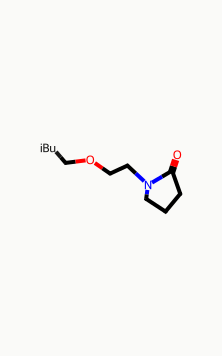 CCC(C)COCCN1CCCC1=O